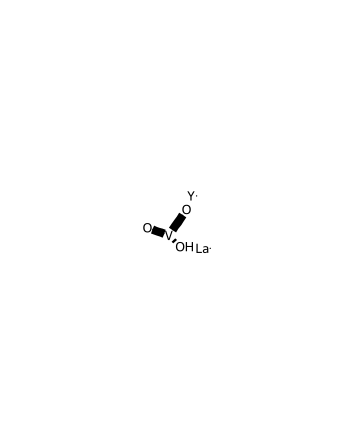 [La].[O]=[V](=[O])[OH].[Y]